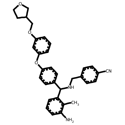 Cc1c(N)cccc1C(NCc1ccc(C#N)cc1)c1ccc(Oc2cccc(OCC3CCOC3)c2)cc1